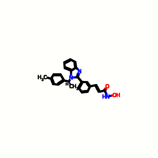 Cc1ccc([C@@H](C)n2c(-c3cccc(C=CC(=O)NO)c3)nc3ccccc32)cc1